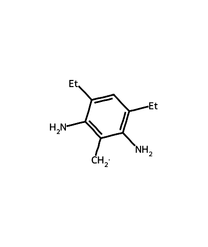 [CH2]c1c(N)c(CC)cc(CC)c1N